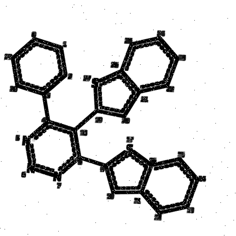 c1ccc(-c2nnnc(-c3cc4ccccc4s3)c2-c2cc3ccccc3s2)cc1